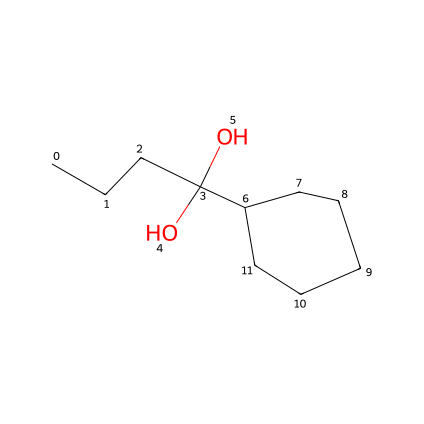 CCCC(O)(O)C1CCCCC1